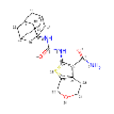 NC(=O)c1c(NC(=O)NC23CC4CC(CC(C4)C2)C3)sc2c1CCOC2